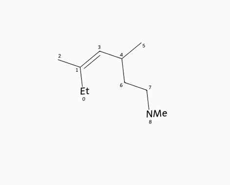 CC/C(C)=C\C(C)CCNC